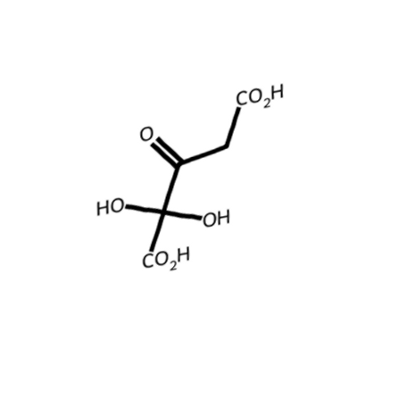 O=C(O)CC(=O)C(O)(O)C(=O)O